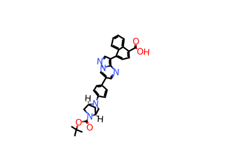 CC(C)(C)OC(=O)N1C[C@@H]2C[C@H]1CN2c1ccc(-c2cnc3c(-c4ccc(C(=O)O)c5ccccc45)cnn3c2)cc1